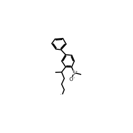 [CH2]CCCC(C)c1cc(-c2ccccc2)ccc1[S+](C)[O-]